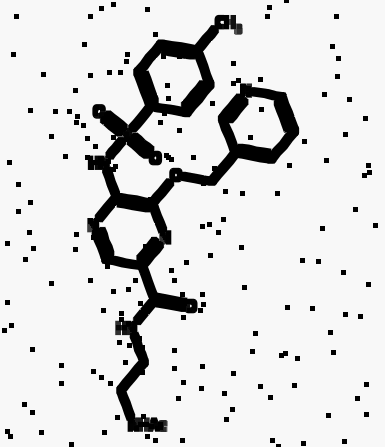 CC(=O)NCCNC(=O)c1cnc(NS(=O)(=O)c2ccc(C)cc2)c(OCc2cccnc2)n1